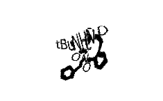 CN1CC(C(=O)NC(C)(C)C)N(CCc2ccccc2)C(=O)c2ccccc2CC1=O